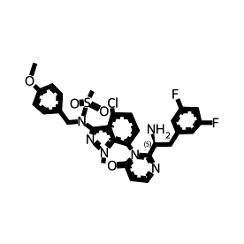 COc1ccc(CN(c2nn(C)c3c(-n4c([C@@H](N)Cc5cc(F)cc(F)c5)nccc4=O)ccc(Cl)c23)S(C)(=O)=O)cc1